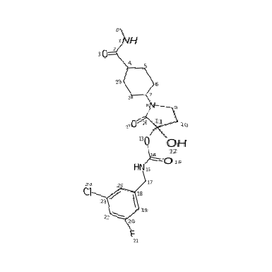 CNC(=O)C1CCC(N2CCC(O)(OC(=O)NCc3cc(F)cc(Cl)c3)C2=O)CC1